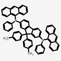 Cc1ccc(C2(c3ccc(C)cc3)c3cc(N(c4ccccc4)c4c5ccccc5cc5ccccc45)ccc3-c3ccc(N(c4ccccc4)c4c5ccccc5cc5ccccc45)cc32)cc1